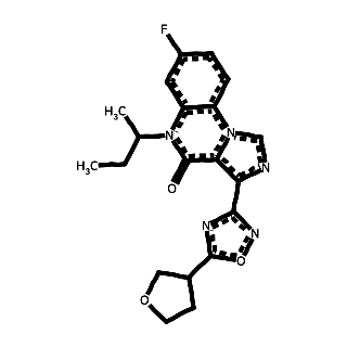 CCC(C)n1c(=O)c2c(-c3noc(C4CCOC4)n3)ncn2c2ccc(F)cc21